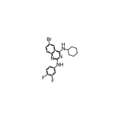 Fc1ccc(Nc2nc(NC3CCCCC3)c3cc(Br)ccc3n2)cc1F